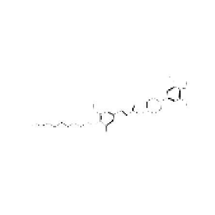 CCCCCCCCCCOc1c(OC)cc(/C=C/C(=O)NN2CCN(c3cc(OC)c(OC)c(OC)c3)CC2)cc1OC